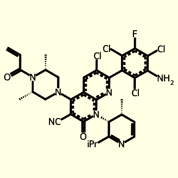 C=CC(=O)N1[C@H](C)CN(c2c(C#N)c(=O)n([C@H]3C(C(C)C)=NC=C[C@H]3C)c3nc(-c4c(Cl)c(N)c(Cl)c(F)c4Cl)c(Cl)cc23)C[C@@H]1C